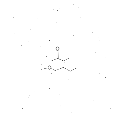 CCC(C)=O.CCCCOC